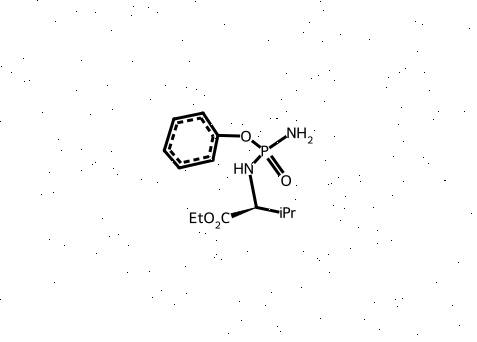 CCOC(=O)[C@@H](NP(N)(=O)Oc1ccccc1)C(C)C